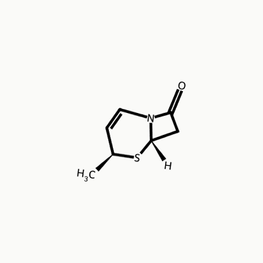 C[C@H]1C=CN2C(=O)C[C@@H]2S1